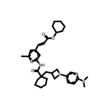 Cc1cc(/C=C/C(=O)OC2CCCCC2)cc(NC(=O)C2(CC3CN(c4ccc(N(C)C)nc4)C3)CCCCC2)n1